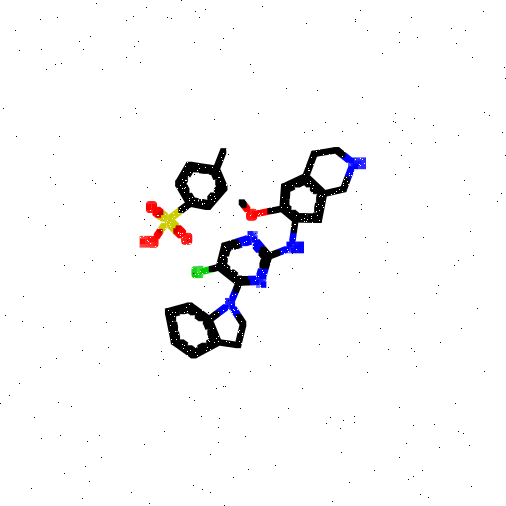 COc1cc2c(cc1Nc1ncc(Cl)c(N3CCc4ccccc43)n1)CNCC2.Cc1ccc(S(=O)(=O)O)cc1